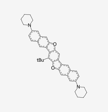 CC(C)(C)c1c2oc3cc4cc(N5CCCCC5)ccc4cc3c2cc2oc3cc4cc(N5CCCCC5)ccc4cc3c12